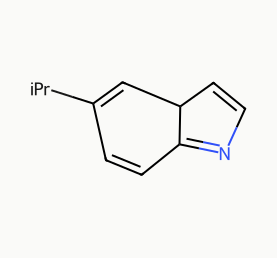 CC(C)C1=CC2C=CN=C2C=C1